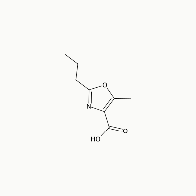 CCCc1nc(C(=O)O)c(C)o1